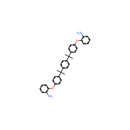 CC(C)(c1ccc(Oc2ccccc2N)cc1)c1ccc(C(C)(C)c2ccc(Oc3ccccc3N)cc2)cc1